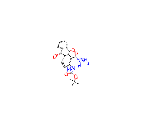 CC(C)(C)OC(=O)Nc1ccc2c(c1C(=O)NN)C(=O)c1ccccc1C2=O